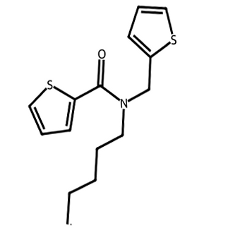 [CH2]CCCCN(Cc1cccs1)C(=O)c1cccs1